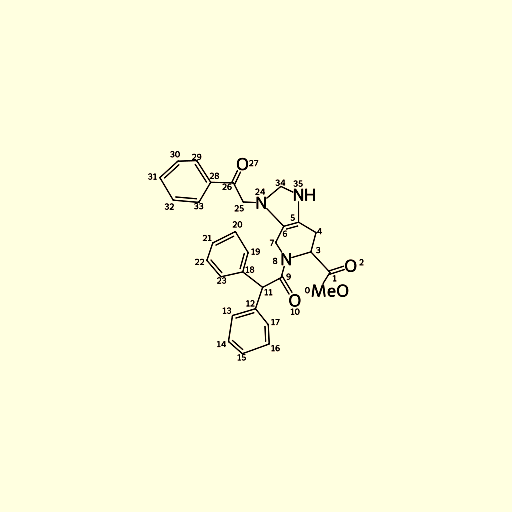 COC(=O)C1CC2=C(CN1C(=O)C(c1ccccc1)c1ccccc1)N(CC(=O)c1ccccc1)CN2